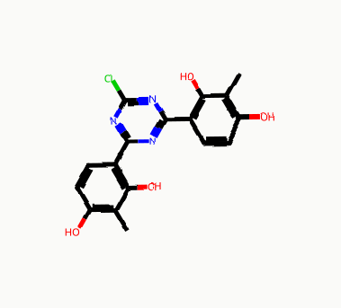 Cc1c(O)ccc(-c2nc(Cl)nc(-c3ccc(O)c(C)c3O)n2)c1O